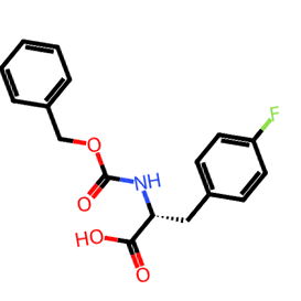 O=C(N[C@H](Cc1ccc(F)cc1)C(=O)O)OCc1ccccc1